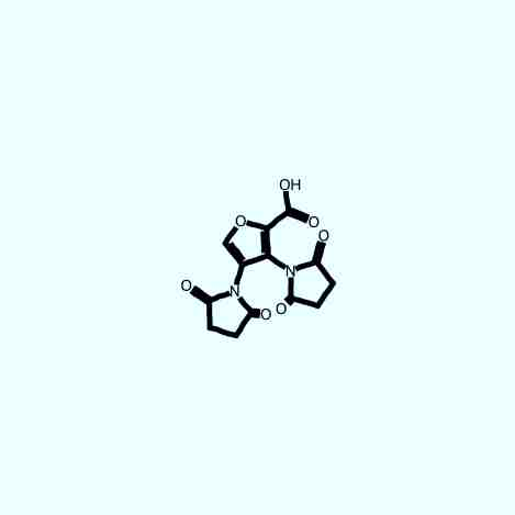 O=C(O)c1occ(N2C(=O)CCC2=O)c1N1C(=O)CCC1=O